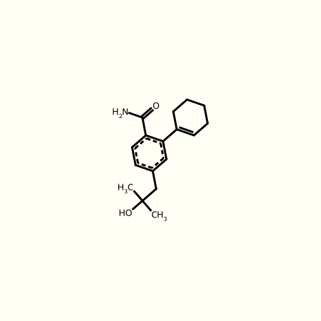 CC(C)(O)Cc1ccc(C(N)=O)c(C2=CCCCC2)c1